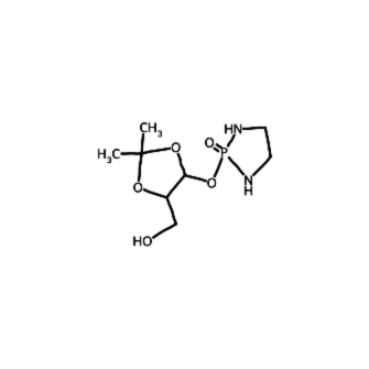 CC1(C)OC(CO)C(OP2(=O)NCCN2)O1